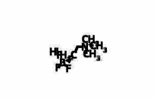 CC[N+](C)(C)C.F[B-](F)(F)F.I